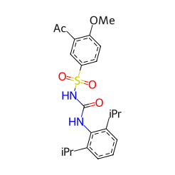 COc1ccc(S(=O)(=O)NC(=O)Nc2c(C(C)C)cccc2C(C)C)cc1C(C)=O